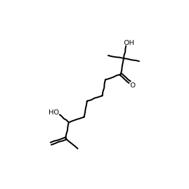 C=C(C)C(O)CCCCC(=O)C(C)(C)O